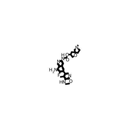 Cc1c(-c2cc3cc(NC(=O)OC4COC5(CCN(C)C5)C4)ncc3c(N)c2F)cnc2c1NCCO2